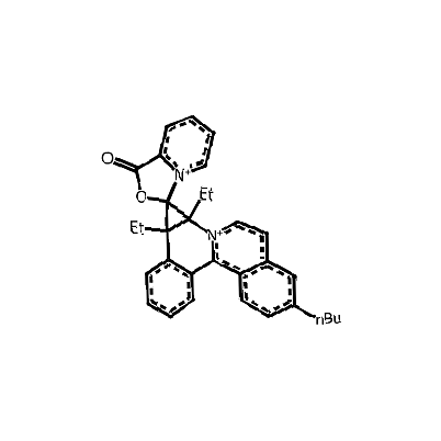 CCCCc1ccc2c3[n+](ccc2c1)C1(CC)C(CC)(c2ccccc2-3)C12OC(=O)c1cccc[n+]12